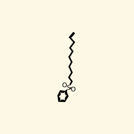 C=CCCCCCCCCCS(=O)(=O)c1ccccc1